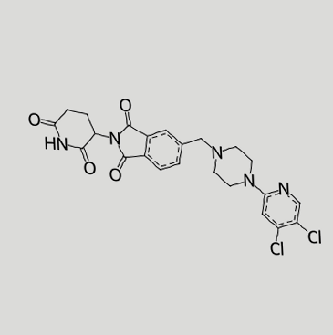 O=C1CCC(N2C(=O)c3ccc(CN4CCN(c5cc(Cl)c(Cl)cn5)CC4)cc3C2=O)C(=O)N1